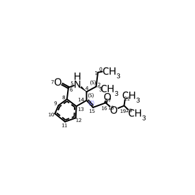 CC[C@H](C)[C@@H]1NC(=O)c2ccccc2/C1=C/C(=O)OC(C)C